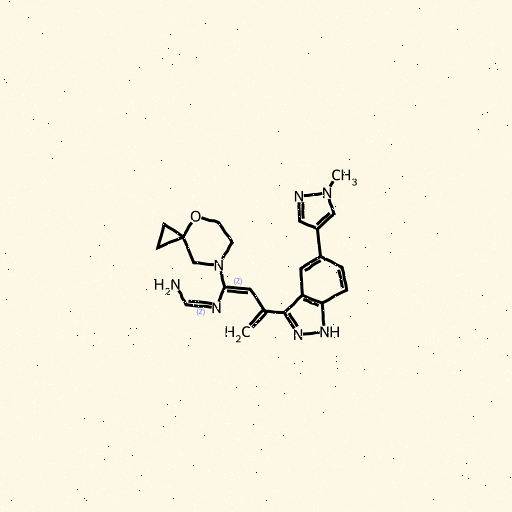 C=C(/C=C(\N=C/N)N1CCOC2(CC2)C1)c1n[nH]c2ccc(-c3cnn(C)c3)cc12